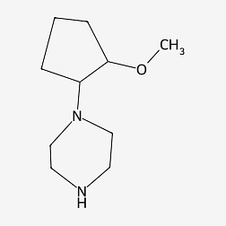 COC1CCCC1N1CCNCC1